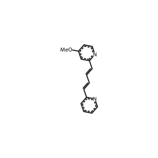 COc1ccnc(C=CC=Cc2ccccn2)c1